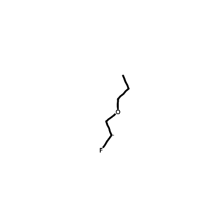 CCCOC[CH]F